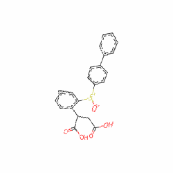 O=C(O)CC(C(=O)O)c1ccccc1[S+]([O-])c1ccc(-c2ccccc2)cc1